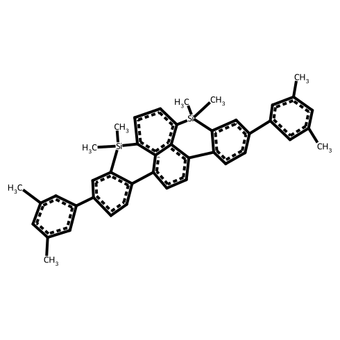 Cc1cc(C)cc(-c2ccc3c(c2)[Si](C)(C)c2ccc4c5c(ccc-3c25)-c2ccc(-c3cc(C)cc(C)c3)cc2[Si]4(C)C)c1